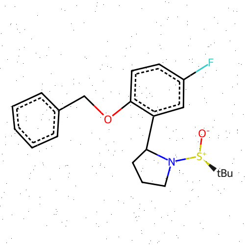 CC(C)(C)[S@+]([O-])N1CCCC1c1cc(F)ccc1OCc1ccccc1